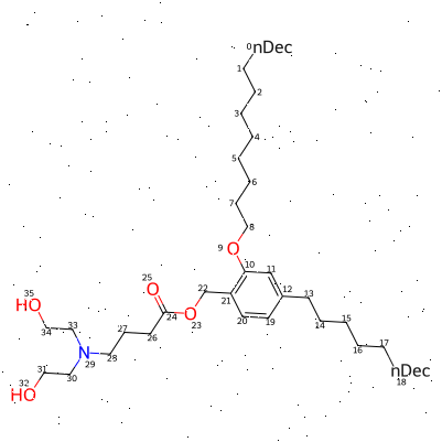 CCCCCCCCCCCCCCCCCCOc1cc(CCCCCCCCCCCCCCC)ccc1COC(=O)CCCN(CCO)CCO